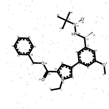 CCn1cc(-c2cc(OC)cc([C@@H](C)N[S@@+]([O-])C(C)(C)C)c2)cc1C(=O)OCc1ccccc1